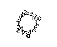 CC[C@H](C)[C@H]1C(=O)N[C@H](C(=O)N2CCCCC2)CSCC(=O)N(C)[C@@H](C)C(=O)N[C@@H](Cc2ccccc2)C(=O)N(C)[C@@H](CC(C)C)C(=O)N[C@@H]([C@@H](C)O)C(=O)N(C)CC(=O)N(C)[C@@H](CC(C)C)C(=O)NC(COC(C)(C)C)C(=O)N1C